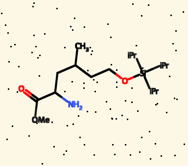 COC(=O)C(N)CC(C)CCO[Si](C(C)C)(C(C)C)C(C)C